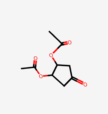 CC(=O)OC1CC(=O)CC1OC(C)=O